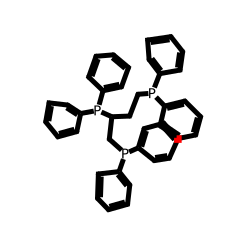 c1ccc(P(CCC(CP(c2ccccc2)c2ccccc2)P(c2ccccc2)c2ccccc2)c2ccccc2)cc1